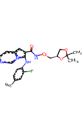 CSc1ccc(Nc2c(C(=O)NOC[C@H]3COC(C)(C)O3)cc3ccncn23)c(F)c1